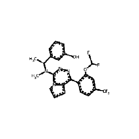 C[C@@H](c1cccc(O)c1)N(C)c1nnc(-c2ccc(C(F)(F)F)cc2OC(F)F)c2cccn12